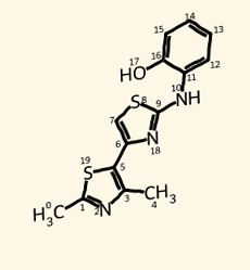 Cc1nc(C)c(-c2csc(Nc3ccccc3O)n2)s1